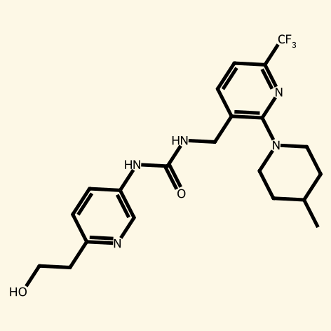 CC1CCN(c2nc(C(F)(F)F)ccc2CNC(=O)Nc2ccc(CCO)nc2)CC1